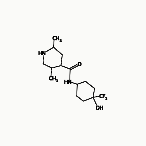 CC1CC(C(=O)NC2CCC(O)(C(F)(F)F)CC2)C(C)CN1